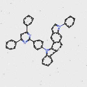 c1ccc(-c2cc(-c3ccccc3)nc(-c3ccc(-n4c5ccccc5c5ccc6cc7c(ccn7-c7ccccc7)cc6c54)cc3)n2)cc1